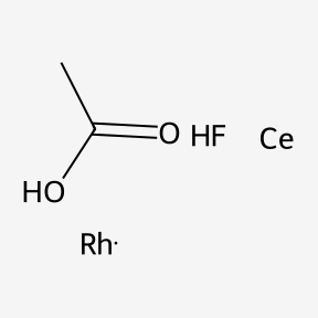 CC(=O)O.F.[Ce].[Rh]